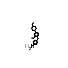 CCc1cc(C2CCC(CC)CC2)ccc1Cc1ccc(N)cc1